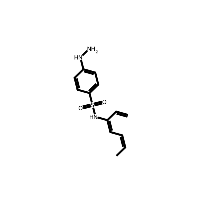 C=C/C(=C\C=C/C)NS(=O)(=O)c1ccc(NN)cc1